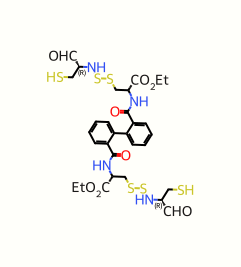 CCOC(=O)C(CSSN[C@H](C=O)CS)NC(=O)c1ccccc1-c1ccccc1C(=O)NC(CSSN[C@H](C=O)CS)C(=O)OCC